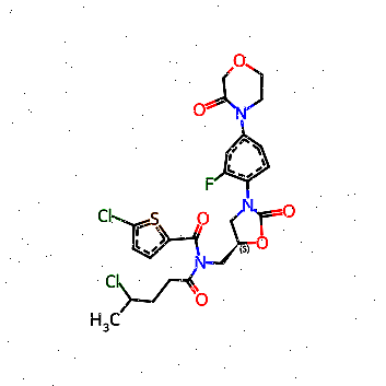 CC(Cl)CCC(=O)N(C[C@H]1CN(c2ccc(N3CCOCC3=O)cc2F)C(=O)O1)C(=O)c1ccc(Cl)s1